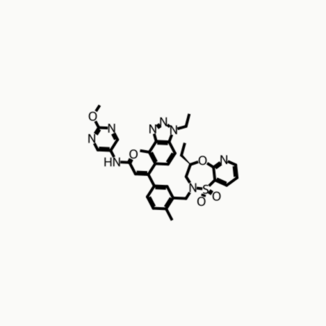 CC[C@@H]1CN(Cc2cc(/C(=C/C(=O)Nc3cnc(OC)nc3)c3ccc4c(nnn4CC)c3C)ccc2C)S(=O)(=O)c2cccnc2O1